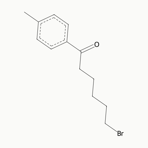 Cc1ccc(C(=O)CCCCCBr)cc1